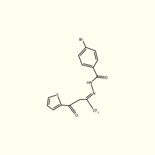 O=C(NN=C(CC(=O)c1cccs1)C(F)(F)F)c1ccc(Br)cc1